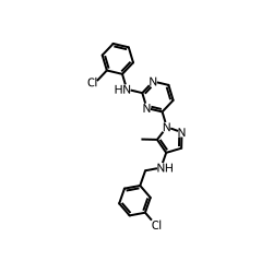 Cc1c(NCc2cccc(Cl)c2)cnn1-c1ccnc(Nc2ccccc2Cl)n1